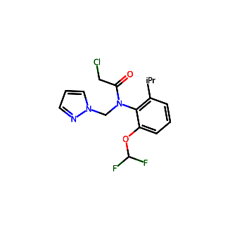 CC(C)c1cccc(OC(F)F)c1N(Cn1cccn1)C(=O)CCl